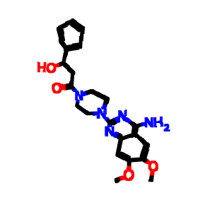 COc1cc2nc(N3CCN(C(=O)CC(O)c4ccccc4)CC3)nc(N)c2cc1OC